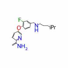 C=C(N)c1ccc(Oc2ccc(CNCCCC(C)C)cc2F)cn1